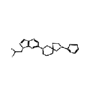 FC(F)Cn1ncc2ncc(N3CCCC4(CCN(c5ccccc5)C4)C3)nc21